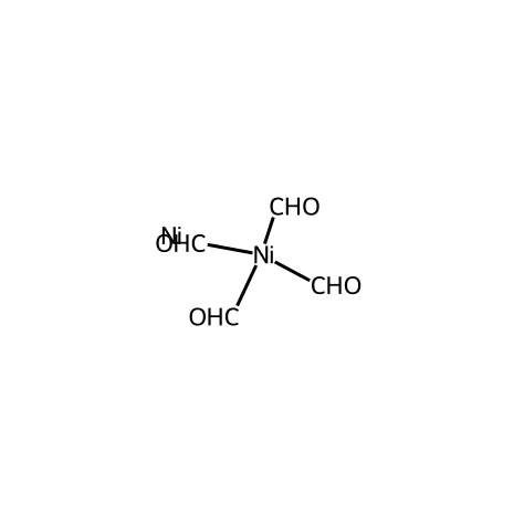 O=[CH][Ni]([CH]=O)([CH]=O)[CH]=O.[Ni]